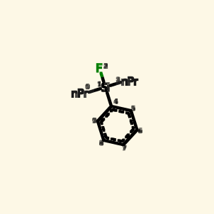 CCC[Si](F)(CCC)c1ccccc1